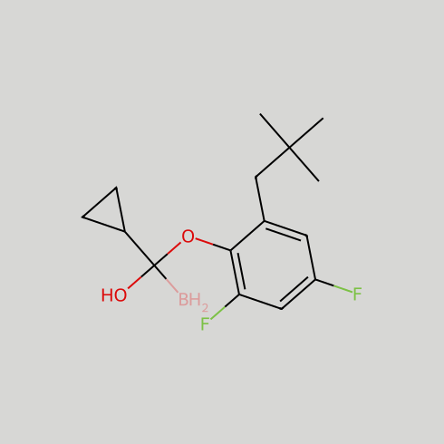 BC(O)(Oc1c(F)cc(F)cc1CC(C)(C)C)C1CC1